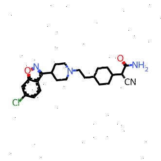 N#CC(C(N)=O)C1CCC(CCN2CCC(c3noc4cc(Cl)ccc34)CC2)CC1